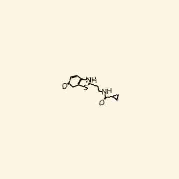 O=C1C=CC2=C(C1)SC(CCNC(=O)C1CC1)N2